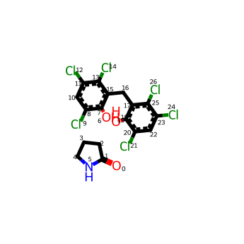 O=C1CCCN1.Oc1c(Cl)cc(Cl)c(Cl)c1Cc1c(O)c(Cl)cc(Cl)c1Cl